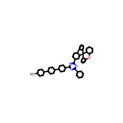 N#Cc1ccc(-c2ccc(-c3ccc(-c4nc(-c5ccccc5)nc(-c5ccc6c(c5)C5(c7ccccc7Oc7ccccc75)c5ccccc5-6)n4)cc3)cc2)cc1